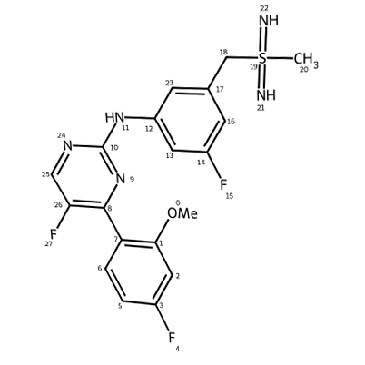 COc1cc(F)ccc1-c1nc(Nc2cc(F)cc(CS(C)(=N)=N)c2)ncc1F